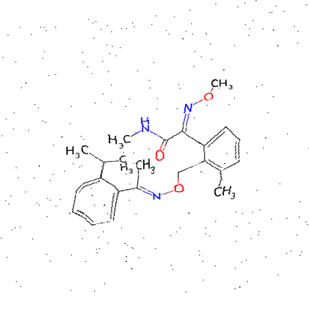 CNC(=O)/C(=N/OC)c1cccc(C)c1CO/N=C(\C)c1ccccc1C(C)C